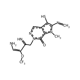 C=Nc1c(S)c2cnn(CC(=N)/C(=C\N)OC(F)(F)F)c(=O)c2n1C